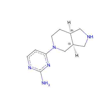 Nc1nccc(N2CC[C@H]3CNC[C@H]3C2)n1